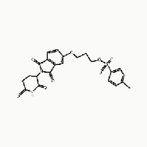 Cc1ccc(S(=O)(=O)OCCCOc2ccc3c(c2)C(=O)N(C2CCC(=O)NC2=O)C3=O)cc1